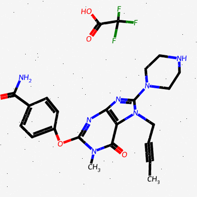 CC#CCn1c(N2CCNCC2)nc2nc(Oc3ccc(C(N)=O)cc3)n(C)c(=O)c21.O=C(O)C(F)(F)F